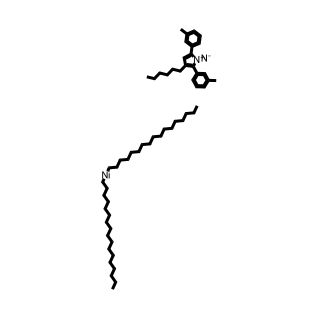 CCCCCCC1=C(c2cccc(C)c2)[N+](=[N-])C(c2cccc(C)c2)=C1.CCCCCCCCCCCCCCCC[CH2][Ni][CH2]CCCCCCCCCCCCCCCC